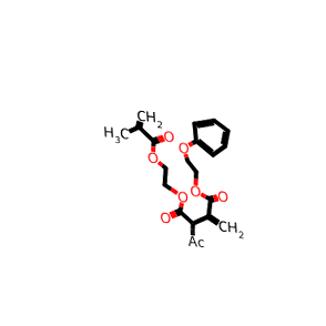 C=C(C)C(=O)OCCOC(=O)C(C(=C)C(=O)OCCOc1ccccc1)C(C)=O